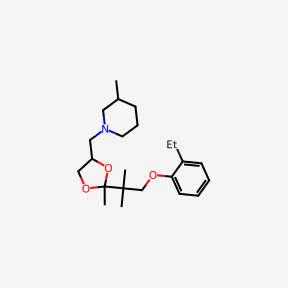 CCc1ccccc1OCC(C)(C)C1(C)OCC(CN2CCCC(C)C2)O1